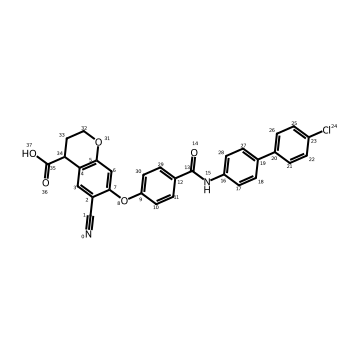 N#Cc1cc2c(cc1Oc1ccc(C(=O)Nc3ccc(-c4ccc(Cl)cc4)cc3)cc1)OCCC2C(=O)O